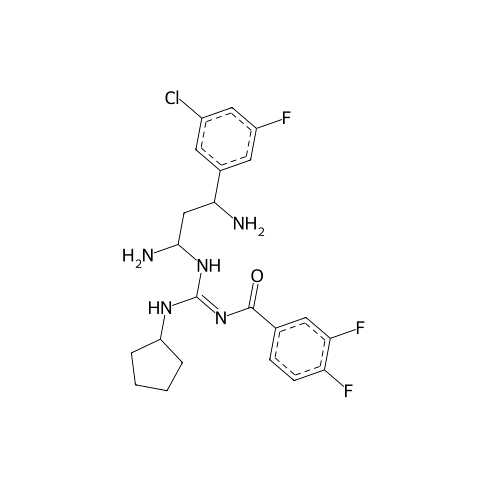 NC(CC(N)c1cc(F)cc(Cl)c1)N/C(=N\C(=O)c1ccc(F)c(F)c1)NC1CCCC1